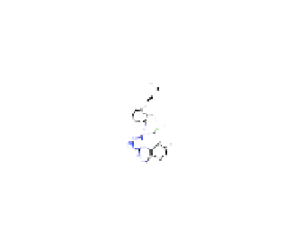 CC(C)(C)C#Cc1cccc2c1CCCN2c1nnc2ncc3cccc(F)c3n12